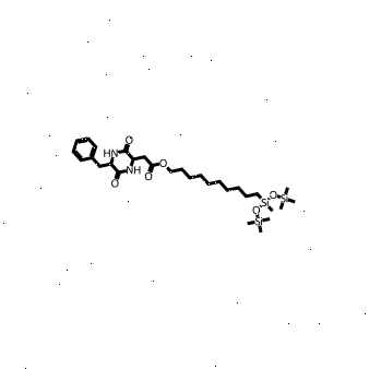 C[Si](C)(C)O[Si](C)(CCCCCCCCCCOC(=O)CC1NC(=O)C(Cc2ccccc2)NC1=O)O[Si](C)(C)C